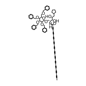 CC#CC#CC#CC#CC#CC#CC#CC#CC#CC#CC#CC(=O)N[C@@H](COC1OC(COCc2ccccc2)C(OCc2ccccc2)C(OCc2ccccc2)C1OCc1ccccc1)[C@H](O)[C@H](O)CC1CCCC1